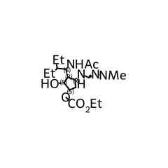 CCOC(=O)O[C@H]1C[C@@H](NC=NNC)[C@H]([C@@H](NC(C)=O)C(CC)CC)[C@@H]1O